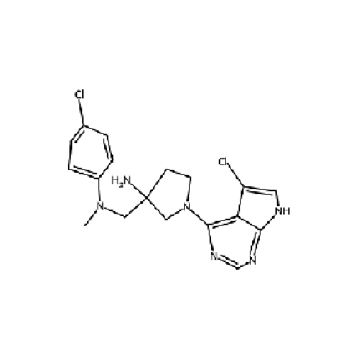 CN(CC1(N)CCN(c2ncnc3[nH]cc(Cl)c23)C1)c1ccc(Cl)cc1